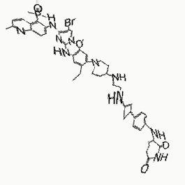 CCc1cc(Nc2ncc(Br)c(Nc3ccc4nc(C)ccc4c3P(C)(C)=O)n2)c(OC)cc1N1CCC(NCCNC2CC(c3ccc(NC4CCC(=O)NC4=O)cc3)C2)CC1